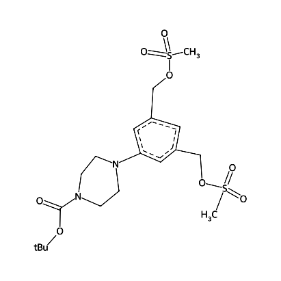 CC(C)(C)OC(=O)N1CCN(c2cc(COS(C)(=O)=O)cc(COS(C)(=O)=O)c2)CC1